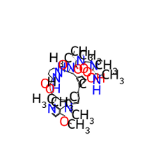 CCn1c(-c2cnccc2COC)c2c3cc(ccc31)-c1cc(O)cc(c1)C[C@H](NC(=O)[C@H](C(C)C)N(C)C(=O)CN(C)C(=O)[C@H]1N[C@@H]1C)C(=O)N1CCC[C@H](N1)C(=O)OCC(C)(C)C2